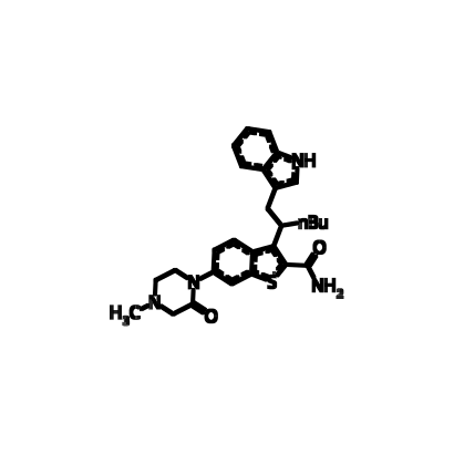 CCCCC(Cc1c[nH]c2ccccc12)c1c(C(N)=O)sc2cc(N3CCN(C)CC3=O)ccc12